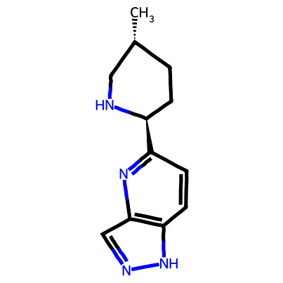 C[C@@H]1CC[C@@H](c2ccc3[nH]ncc3n2)NC1